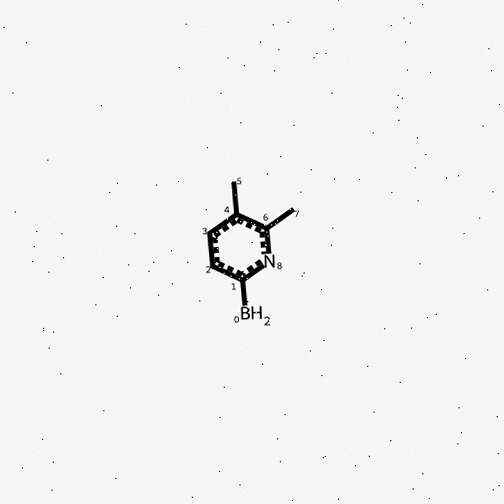 Bc1ccc(C)c(C)n1